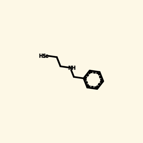 [SeH]CCNCc1ccccc1